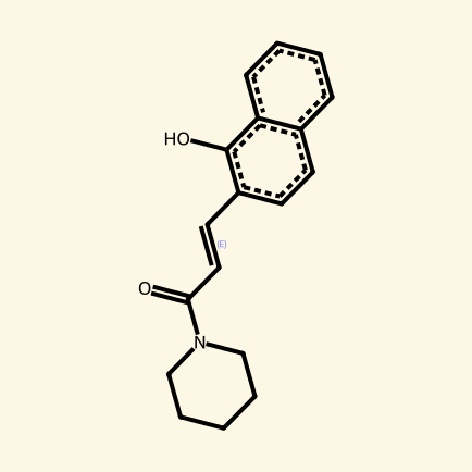 O=C(/C=C/c1ccc2ccccc2c1O)N1CCCCC1